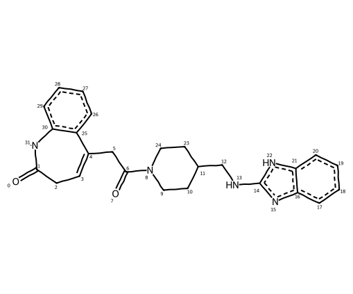 O=C1CC=C(CC(=O)N2CCC(CNc3nc4ccccc4[nH]3)CC2)c2ccccc2[N]1